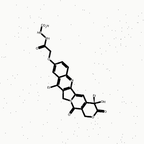 CCc1c2c(nc3ccc(OCC(=O)NNC(=O)O)cc13)-c1cc3c(c(=O)n1C2)COC(=O)[C@]3(O)CC